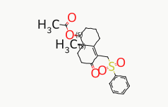 CC(=O)O[C@H]1CCCC2=C(CS(=O)(=O)c3ccccc3)C(=O)CC[C@@]21C